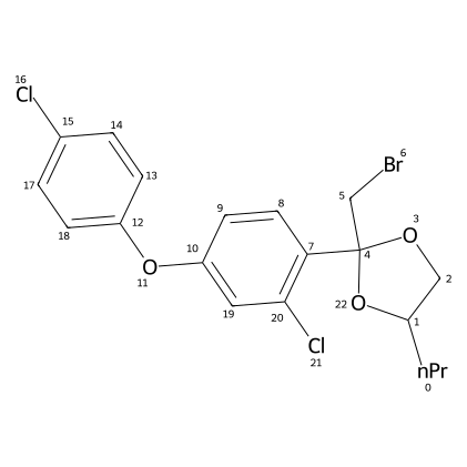 CCCC1COC(CBr)(c2ccc(Oc3ccc(Cl)cc3)cc2Cl)O1